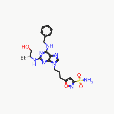 CC[C@H](CO)Nc1nc(NCc2ccccc2)c2ncn(CCCc3cc(S(N)(=O)=O)no3)c2n1